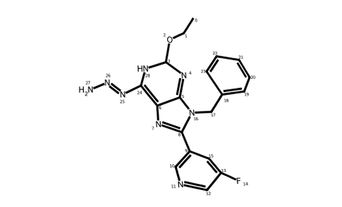 CCOC1N=c2c(nc(-c3cncc(F)c3)n2Cc2ccccc2)=C(N=NN)N1